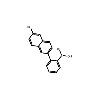 OB(O)c1ccccc1-c1ccc2cc(O)ccc2c1